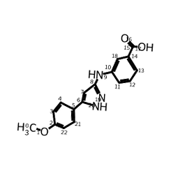 COc1ccc(-c2cc(Nc3cccc(C(=O)O)c3)n[nH]2)cc1